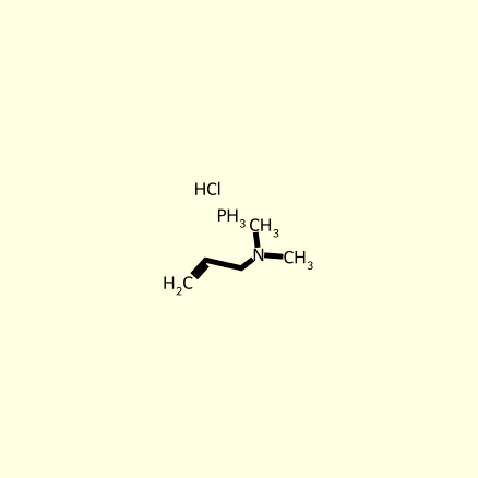 C=CCN(C)C.Cl.P